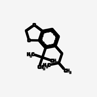 CC(C)Cc1ccc2c(c1C(C)(C)C)OCO2